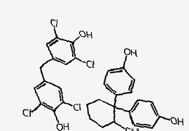 CC1CCCCC1(c1ccc(O)cc1)c1ccc(O)cc1.Oc1c(Cl)cc(Cc2cc(Cl)c(O)c(Cl)c2)cc1Cl